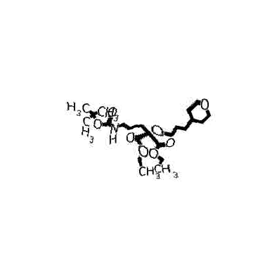 CCOC(=O)C(CCCNC(=O)OC(C)(C)C)(OCCCC1CCOCC1)C(=O)OCC